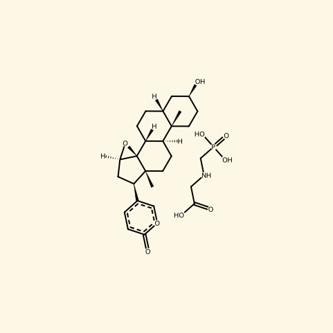 C[C@]12CC[C@H](O)C[C@H]1CC[C@@H]1[C@@H]2CC[C@]2(C)[C@@H](c3ccc(=O)oc3)C[C@H]3O[C@]132.O=C(O)CNCP(=O)(O)O